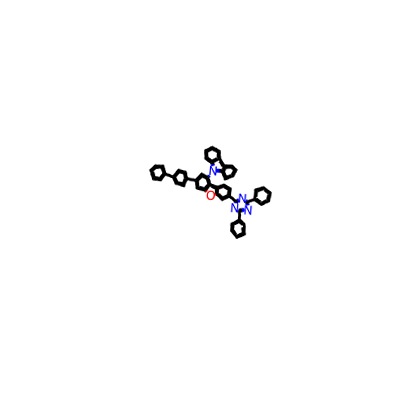 c1ccc(-c2ccc(-c3cc(-n4c5ccccc5c5ccccc54)c4c(c3)oc3cc(-c5nc(-c6ccccc6)nc(-c6ccccc6)n5)ccc34)cc2)cc1